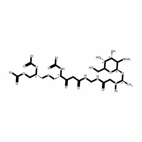 CCC(=O)N[C@@H](CSC[C@H](COC(=O)CC)OC(=O)CC)C(=O)CC(=O)NCNC(=O)CN(C(C)=O)[C@H](C)O[C@H]1OC(CO)[C@H](O)[C@H](O)C1NC(C)=O